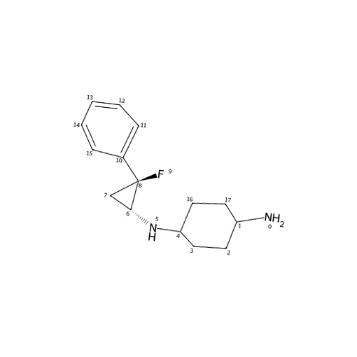 NC1CCC(N[C@@H]2C[C@]2(F)c2ccccc2)CC1